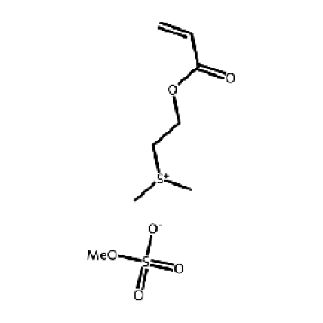 C=CC(=O)OCC[S+](C)C.COS(=O)(=O)[O-]